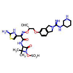 CC1(C)C(NC(=O)/C(=N\O[C@H](C=O)COc2ccc3c(c2)CN(C(=N)NC2CCCNC2)C3)C2=CSC(N)N2)C(=O)N1OS(=O)(=O)O